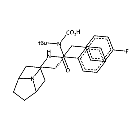 CC(C)(C)N(C(=O)O)[C@@H](CCN1C2CCC1CC(NC(=O)Cc1ccc(F)cc1)C2)c1ccccc1